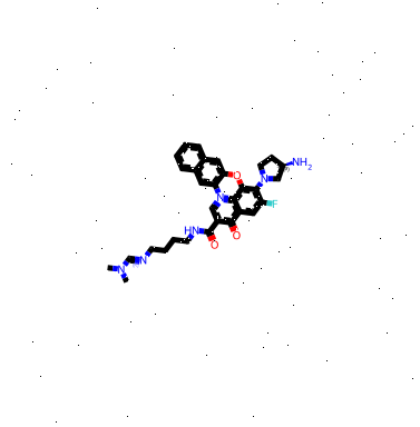 CN(C)/C=N/CCCCNC(=O)c1cn2c3c(c(N4CC[C@@H](N)C4)c(F)cc3c1=O)Oc1cc3ccccc3cc1-2